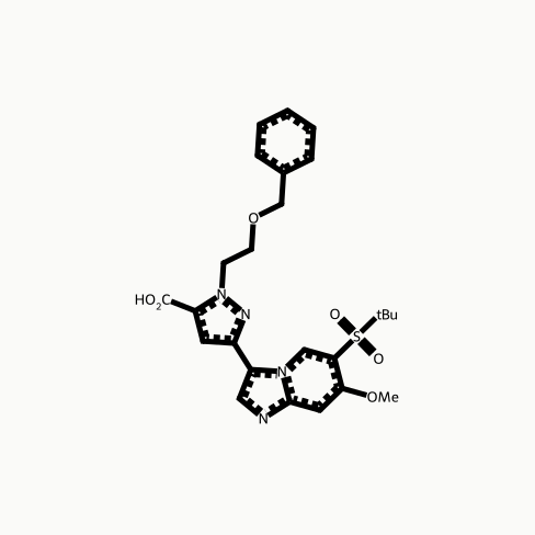 COc1cc2ncc(-c3cc(C(=O)O)n(CCOCc4ccccc4)n3)n2cc1S(=O)(=O)C(C)(C)C